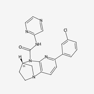 O=C(Nc1cnccn1)N1c2nc(-c3cccc(Cl)c3)ccc2N2CC[C@H]1C2